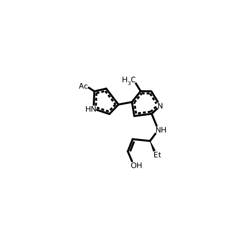 CC[C@@H](/C=C\O)Nc1cc(-c2c[nH]c(C(C)=O)c2)c(C)cn1